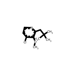 COc1c(Cl)ccnc1CC(C)(C)C